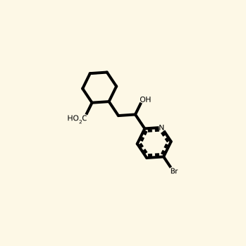 O=C(O)C1CCCCC1CC(O)c1ccc(Br)cn1